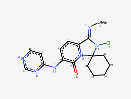 CON=C1c2ccc(Nc3ccncn3)c(=O)n2C2(CCCCC2)N1Cl